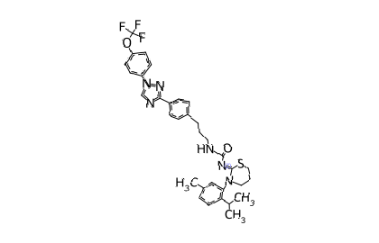 Cc1ccc(C(C)C)c(N2CCCS/C2=N\C(=O)NCCCc2ccc(-c3ncn(-c4ccc(OC(F)(F)F)cc4)n3)cc2)c1